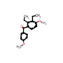 CCc1c(OC)ccc(C(=O)c2ccc(OC)cc2)c1CC